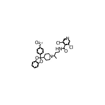 CC(CCNC(=O)c1c(Cl)cncc1Cl)N1CCC(C2(c3ccc([S+](C)[O-])cc3)Oc3ccccc3O2)CC1